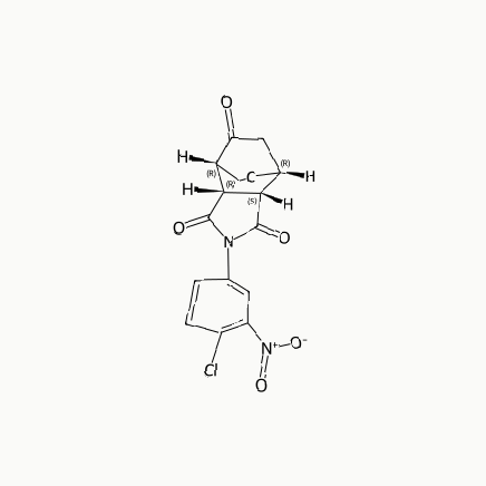 O=C1C[C@H]2CC[C@@H]1[C@H]1C(=O)N(c3ccc(Cl)c([N+](=O)[O-])c3)C(=O)[C@@H]21